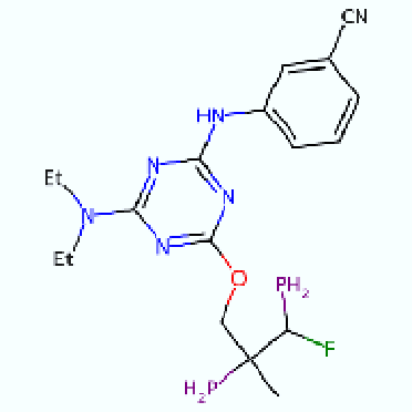 CCN(CC)c1nc(Nc2cccc(C#N)c2)nc(OCC(C)(P)C(F)P)n1